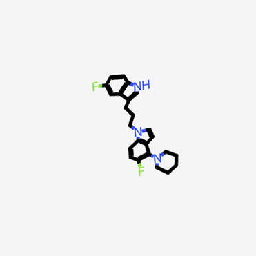 Fc1ccc2[nH]cc(CCCn3ccc4c(N5CCCCC5)c(F)ccc43)c2c1